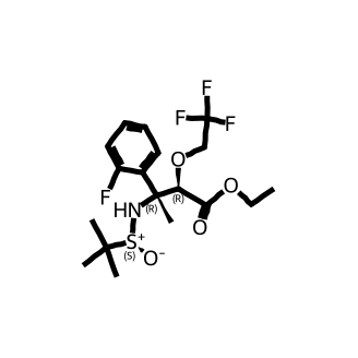 CCOC(=O)[C@H](OCC(F)(F)F)[C@](C)(N[S@+]([O-])C(C)(C)C)c1ccccc1F